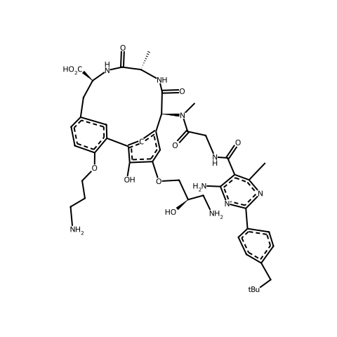 Cc1nc(-c2ccc(CC(C)(C)C)cc2)nc(N)c1C(=O)NCC(=O)N(C)[C@@H]1C(=O)N[C@@H](C)C(=O)N[C@H](C(=O)O)Cc2ccc(OCCCN)c(c2)-c2cc1cc(OC[C@H](O)CN)c2O